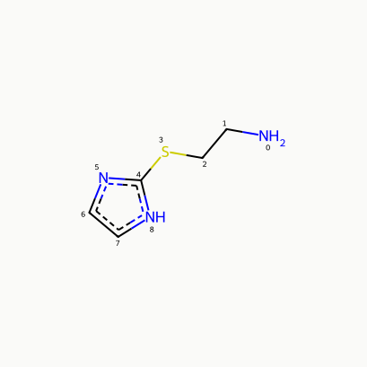 NCCSc1ncc[nH]1